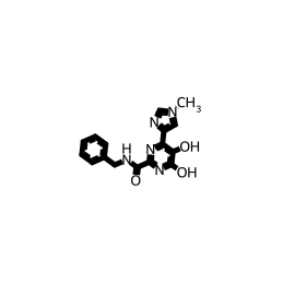 Cn1cnc(-c2nc(C(=O)NCc3ccccc3)nc(O)c2O)c1